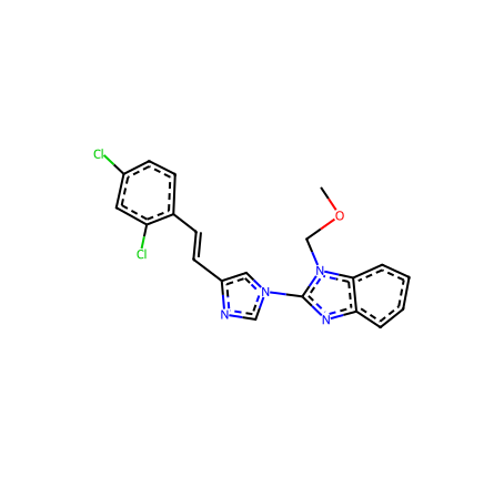 COCn1c(-n2cnc(C=Cc3ccc(Cl)cc3Cl)c2)nc2ccccc21